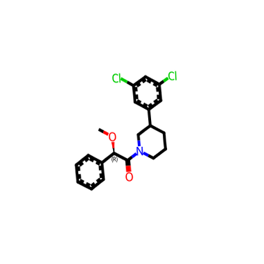 CO[C@@H](C(=O)N1CCCC(c2cc(Cl)cc(Cl)c2)C1)c1ccccc1